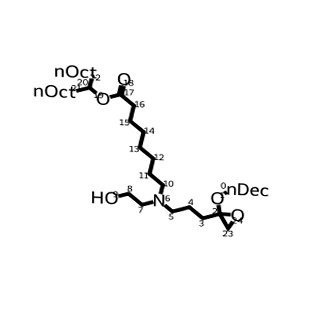 CCCCCCCCCCOC1(CCCN(CCO)CCCCCCCC(=O)OC(CCCCCCCC)CCCCCCCC)CO1